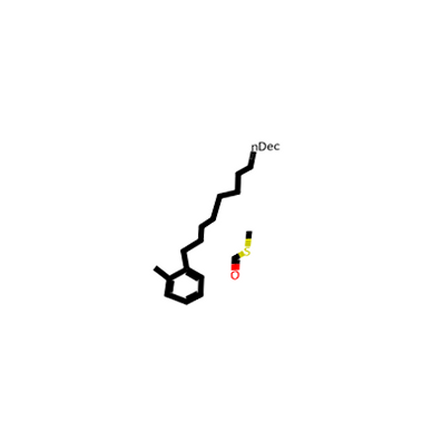 CCCCCCCCCCCCCCCCCCc1ccccc1C.CSC=O